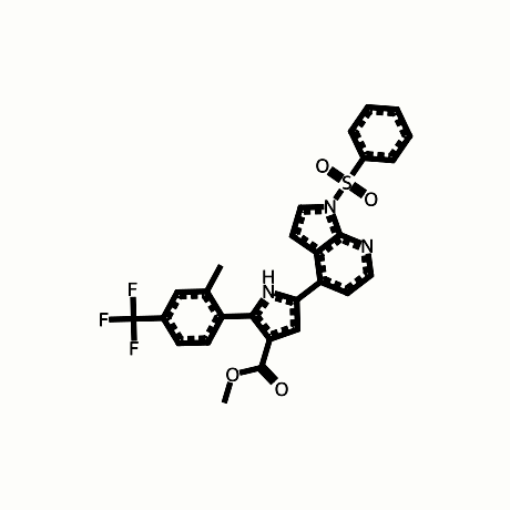 COC(=O)c1cc(-c2ccnc3c2ccn3S(=O)(=O)c2ccccc2)[nH]c1-c1ccc(C(F)(F)F)cc1C